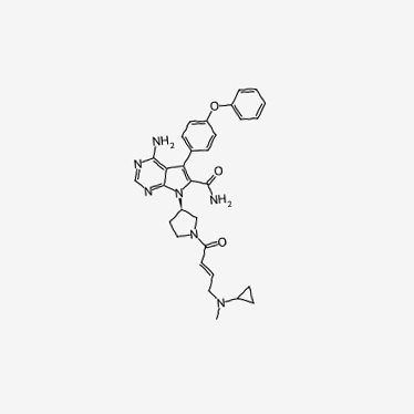 CN(CC=CC(=O)N1CC[C@@H](n2c(C(N)=O)c(-c3ccc(Oc4ccccc4)cc3)c3c(N)ncnc32)C1)C1CC1